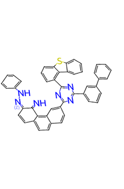 N=C1/C(=N\Nc2ccccc2)C=Cc2ccc3ccc(-c4nc(-c5cccc(-c6ccccc6)c5)nc(-c5cccc6sc7ccccc7c56)n4)cc3c21